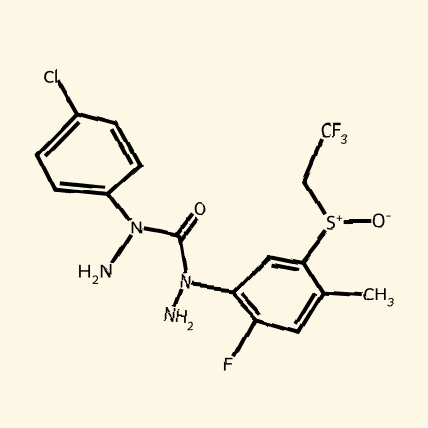 Cc1cc(F)c(N(N)C(=O)N(N)c2ccc(Cl)cc2)cc1[S+]([O-])CC(F)(F)F